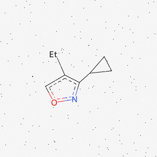 CCc1conc1C1CC1